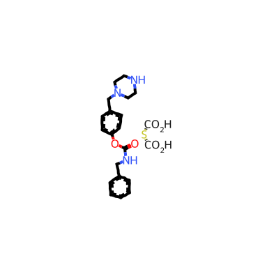 O=C(NCc1ccccc1)Oc1ccc(CN2CCNCC2)cc1.O=C(O)SC(=O)O